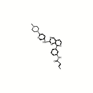 CC=CC(=O)Nc1cccc(-c2nccc3cnc(Nc4ccc(N5CCN(C)CC5)nc4)nc23)c1